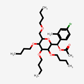 CCCCOCC1OC([C@H](OC(C)=O)c2ccc(Br)cc2C)C(OCCCC)C(OCCCC)C1OCCCC